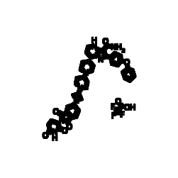 NC(=O)c1c(-c2ccc(Oc3ccccc3)cc2)nn2c1NCC[C@H]2C1CCN(C2CCN(C3CN(c4ccc5c(c4)C(=O)N(C4CCC(=O)NC4=O)C5=O)C3)CC2)CC1.O=C(O)C(F)(F)F